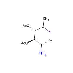 CC[C@H](N)[C@@H](OC(C)=O)[C@H](OC(C)=O)C(C)I